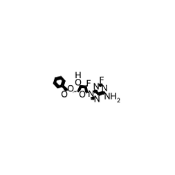 Nc1nc(F)nc2c1ncn2[C@@H]1O[C@H](COC(=O)c2ccccc2)[C@@H](O)[C@@H]1F